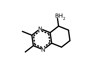 BC1CCCc2nc(C)c(C)nc21